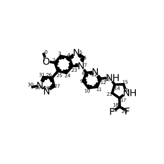 COc1cc2ncn(-c3cccc(NC4CNC(C(F)F)C4)n3)c2cc1-c1cnn(C)c1